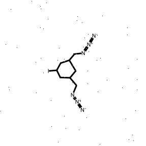 [N-]=[N+]=NCC1CC(I)CC(CN=[N+]=[N-])C1